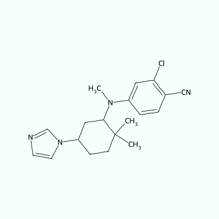 CN(c1ccc(C#N)c(Cl)c1)C1CC(n2ccnc2)CCC1(C)C